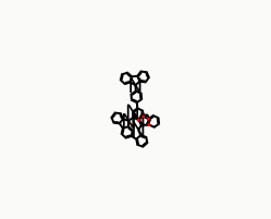 C1=CCCC(c2cc(-c3ccc(-n4c5ccccc5c5ccccc54)cc3)nc(-n3c4ccccc4c4ccc5c6ccccc6n(-c6ccccc6)c5c43)n2)=C1